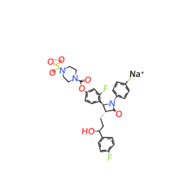 O=C(Oc1ccc([C@@H]2[C@@H](CCC(O)c3ccc(F)cc3)C(=O)N2c2ccc(F)cc2)c(F)c1)N1CCN(S(=O)(=O)[O-])CC1.[Na+]